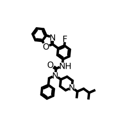 CC(C)CC(C)N1CCC(N(Cc2ccccc2)C(=O)Nc2ccc(F)c(-c3nc4ccccc4o3)c2)CC1